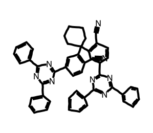 N#Cc1ccc(-c2nc(-c3ccccc3)nc(-c3ccccc3)n2)cc1C1(c2cc(-c3nc(-c4ccccc4)nc(-c4ccccc4)n3)ccc2C#N)CCCCC1